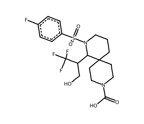 O=C(O)N1CCC2(CCCN(S(=O)(=O)c3ccc(F)cc3)C2C(CO)C(F)(F)F)CC1